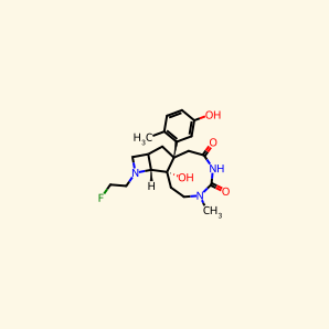 Cc1ccc(O)cc1[C@@]12CC(=O)NC(=O)N(C)CC[C@@]1(O)[C@H]1C(CN1CCF)C2